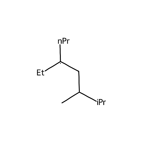 CCC[C](CC)CC(C)C(C)C